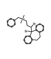 C[N+](C)(CCC(Br)C1(Br)c2ccccc2CCc2ccccc21)Cc1ccccc1